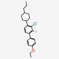 CCCC1CCC(c2ccc(-c3ccc(OCC)cc3)c(F)c2Cl)CC1